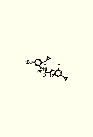 CC(C)(C)c1ccc(OC2CC2)c([S+]([O-])NC(=O)c2cc3c(F)cc(C4CC4)cc3o2)c1